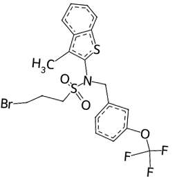 Cc1c(N(Cc2cccc(OC(F)(F)F)c2)S(=O)(=O)CCCBr)sc2ccccc12